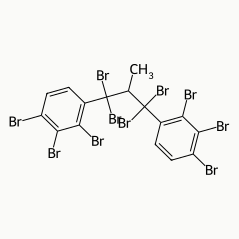 CC(C(Br)(Br)c1ccc(Br)c(Br)c1Br)C(Br)(Br)c1ccc(Br)c(Br)c1Br